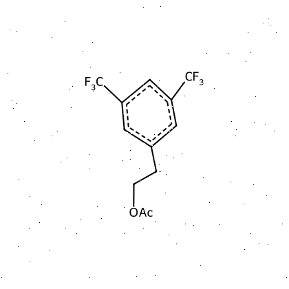 CC(=O)OC[CH]c1cc(C(F)(F)F)cc(C(F)(F)F)c1